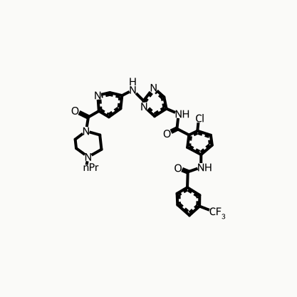 CCCN1CCN(C(=O)c2ccc(Nc3ncc(NC(=O)c4cc(NC(=O)c5cccc(C(F)(F)F)c5)ccc4Cl)cn3)cn2)CC1